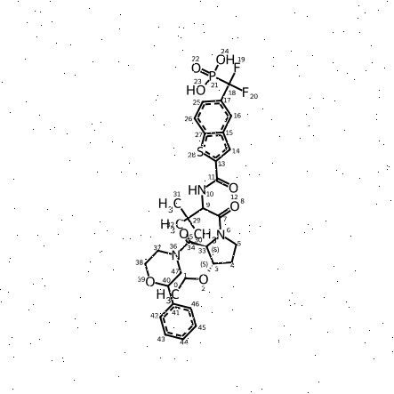 CCO[C@H]1CCN(C(=O)C(NC(=O)c2cc3cc(C(F)(F)P(=O)(O)O)ccc3s2)C(C)(C)C)[C@@H]1C(=O)N1CCOC(c2ccccc2)C1